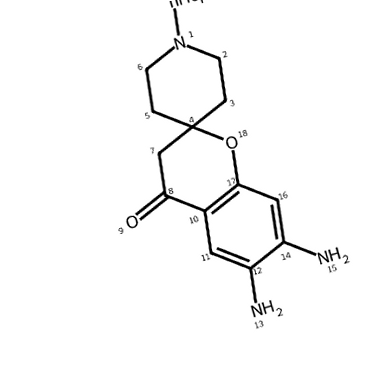 CCCCCCCN1CCC2(CC1)CC(=O)c1cc(N)c(N)cc1O2